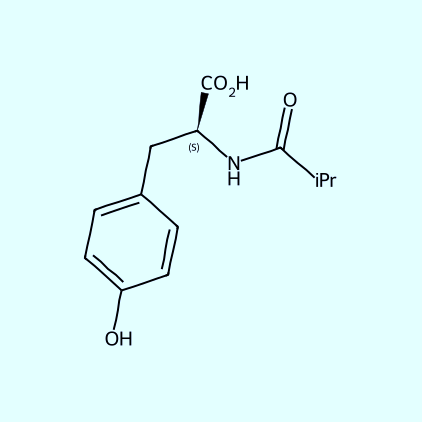 CC(C)C(=O)N[C@@H](Cc1ccc(O)cc1)C(=O)O